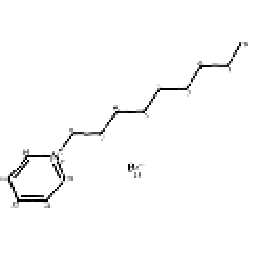 CCCCCCCCC[n+]1ccccc1.[Br-]